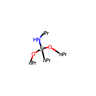 CCCO[Si](CCC)(NC(C)C)OCCC